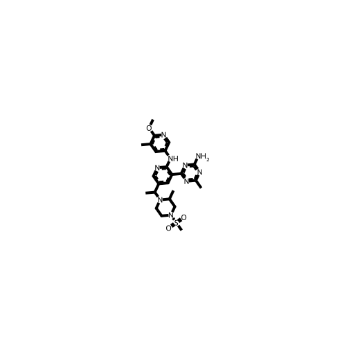 COc1ncc(Nc2ncc(C(C)N3CCN(S(C)(=O)=O)CC3C)cc2-c2nc(C)nc(N)n2)cc1C